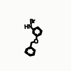 BrNc1cccc(OCc2ccccc2)c1